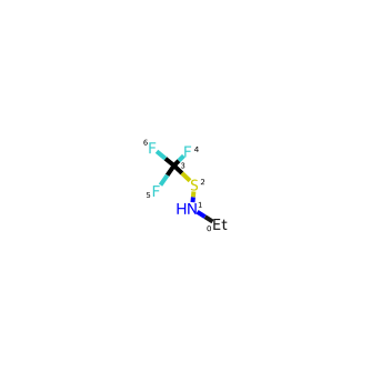 CCNSC(F)(F)F